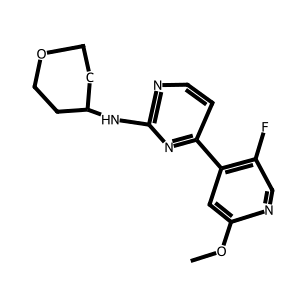 COc1cc(-c2ccnc(NC3CCOCC3)n2)c(F)cn1